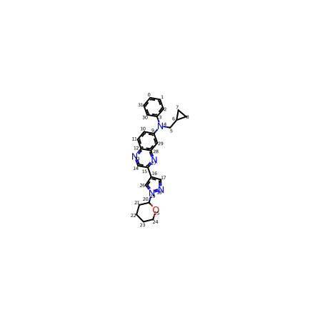 c1ccc(N(CC2CC2)c2ccc3ncc(-c4cnn(C5CCCCO5)c4)nc3c2)cc1